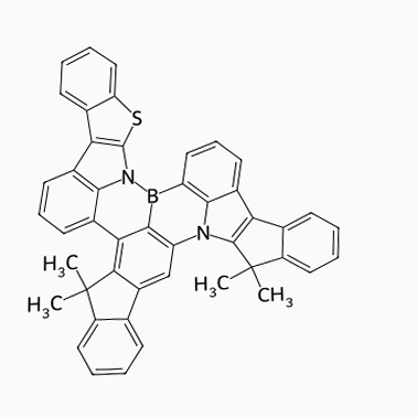 CC1(C)c2ccccc2-c2cc3c4c(c21)-c1cccc2c5c6ccccc6sc5n(c12)B4c1cccc2c4c(n-3c12)C(C)(C)c1ccccc1-4